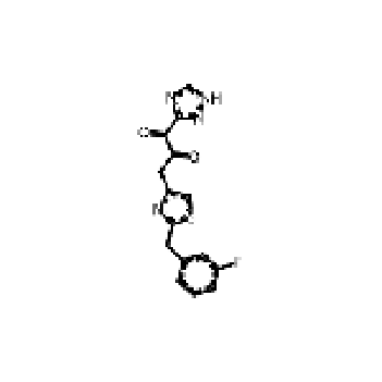 O=C(Cc1csc(Cc2cccc(F)c2)n1)C(=O)c1nc[nH]n1